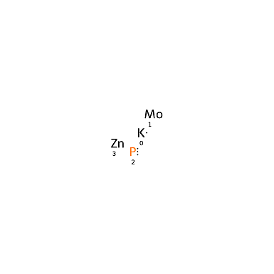 [K].[Mo].[P].[Zn]